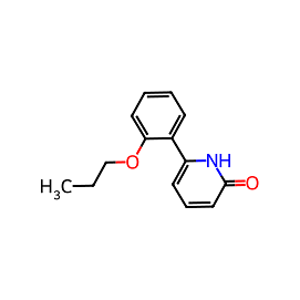 CCCOc1ccccc1-c1cccc(=O)[nH]1